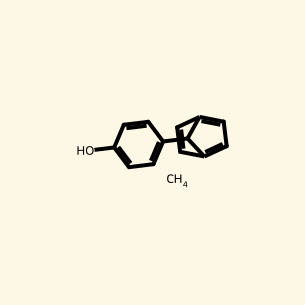 C.Oc1ccc(C2C3=CC=C2C=C3)cc1